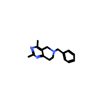 Cc1nc(C)c2c(n1)CCN(Cc1ccccc1)C2